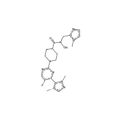 Cc1cnn(C)c1-c1nc(N2CCC(C(=O)N(O)Cc3nccn3C)CC2)ncc1F